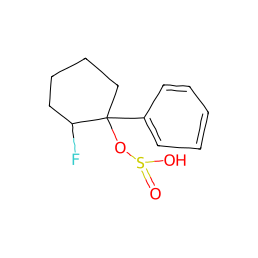 O=S(O)OC1(c2ccccc2)CCCCC1F